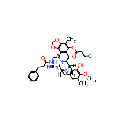 COc1c(C)cc2c(c1O)[C@H]1C3Cc4c(OC(=O)CCCl)c(C)c5c(c4[C@H](CNC(=O)CCc4ccccc4)N3[C@@H](C#N)[C@@H](C2)N1C)OCO5